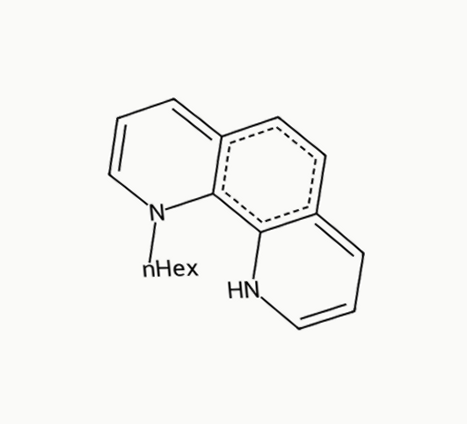 CCCCCCN1C=CC=c2ccc3c(c21)NC=CC=3